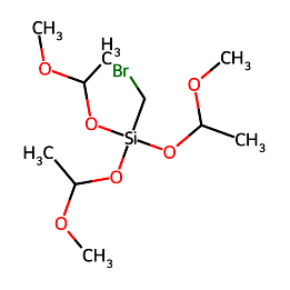 COC(C)O[Si](CBr)(OC(C)OC)OC(C)OC